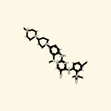 COc1cc(N2CCC(N3CCN(C)CC3)CC2)ccc1Nc1ncc(Cl)c(Nc2ccc(C)cc2P(C)(C)=O)n1